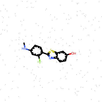 CNc1ccc(-c2nc3ccc(O)cc3s2)c([18F])c1